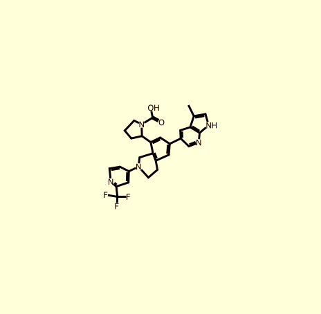 Cc1c[nH]c2ncc(-c3cc4c(c(C5CCCN5C(=O)O)c3)CN(c3ccnc(C(F)(F)F)c3)CC4)cc12